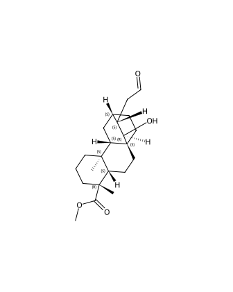 COC(=O)[C@]1(C)CCC[C@@]2(C)[C@@H]3C[C@@H]4CC[C@@]3(CC[C@@H]21)[C@H](O)[C@H]4CC=O